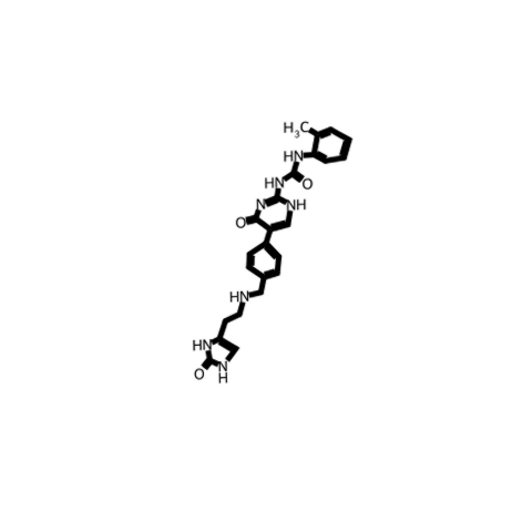 Cc1ccccc1NC(=O)Nc1nc(=O)c(-c2ccc(CNCCc3c[nH]c(=O)[nH]3)cc2)c[nH]1